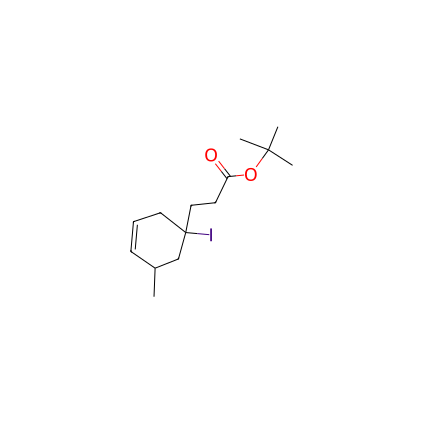 CC1C=CCC(I)(CCC(=O)OC(C)(C)C)C1